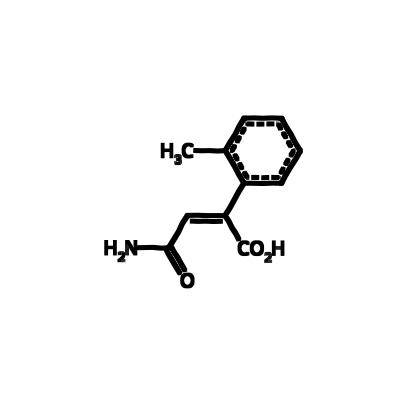 Cc1ccccc1C(=CC(N)=O)C(=O)O